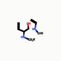 C=CC(CO)NC(=O)O.C=CNC=O